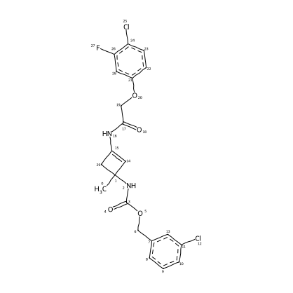 CC1(NC(=O)OCc2cccc(Cl)c2)C=C(NC(=O)COc2ccc(Cl)c(F)c2)C1